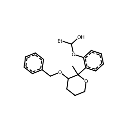 CCC(O)Oc1ccccc1C1(C)OCCCC1OCc1ccccc1